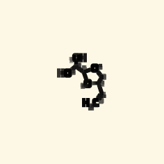 C=CC1COC(C(O)O)O1